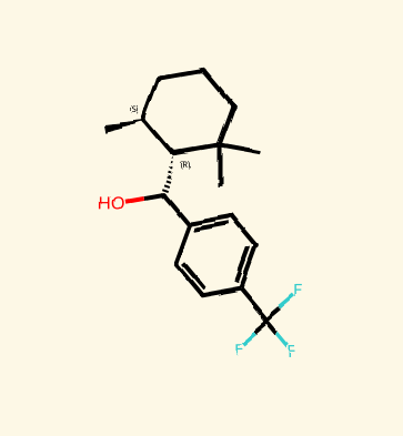 C[C@H]1CCCC(C)(C)[C@@H]1C(O)c1ccc(C(F)(F)F)cc1